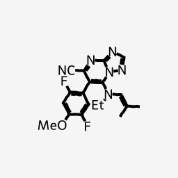 CCN(C=C(C)C)c1c(-c2cc(F)c(OC)cc2F)c(C#N)nc2ncnn12